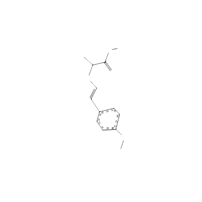 COC(=O)C(C)OC=Cc1ccc(OC)cc1